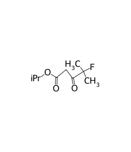 CC(C)OC(=O)CC(=O)C(C)(C)F